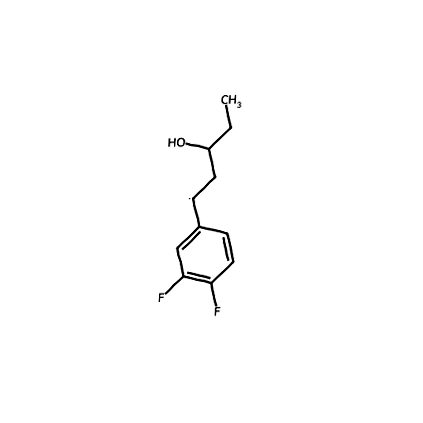 CCC(O)C[CH]c1ccc(F)c(F)c1